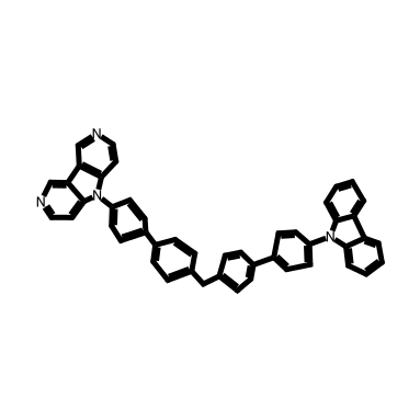 c1ccc2c(c1)c1ccccc1n2-c1ccc(-c2ccc(Cc3ccc(-c4ccc(-n5c6ccncc6c6cnccc65)cc4)cc3)cc2)cc1